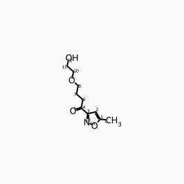 Cc1cc(C(=O)CCCOCCO)no1